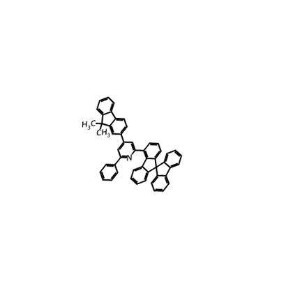 CC1(C)c2ccccc2-c2ccc(-c3cc(-c4ccccc4)nc(-c4cccc5c4-c4ccccc4C54c5ccccc5-c5ccccc54)c3)cc21